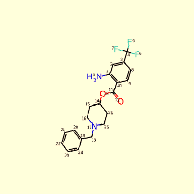 Nc1cc(C(F)(F)F)ccc1C(=O)OC1CCN(Cc2ccccc2)CC1